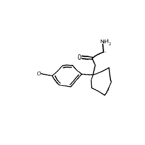 N[CH]C(=O)C1(c2ccc(Cl)cc2)CCCC1